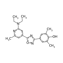 CCN(CC)c1cc(-c2nc(-c3cc(C)c(O)c(C)c3)no2)cc(C)n1